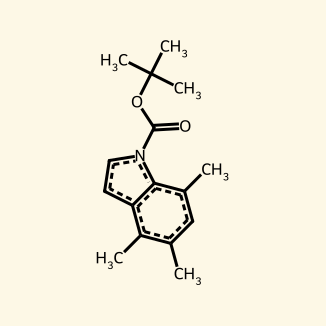 Cc1cc(C)c2c(ccn2C(=O)OC(C)(C)C)c1C